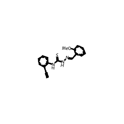 C#Cc1ccccc1NC(=S)N/N=C/c1ccccc1OC